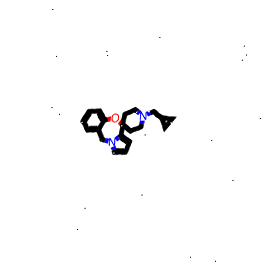 c1ccc2c(c1)Cn1cccc1C1(CCN(CC3CC3)CC1)O2